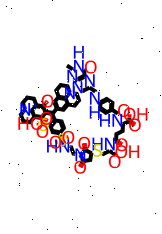 Cc1nc2ncc(CNc3ccc(C(=O)NC(CCC(=O)NC(CSC4CC(=O)N(CCNS(=O)(=O)c5ccc(C6=c7cc8c9c(c7Oc7c6cc6c%10c7CCCN%10CCC6)CCC[N+]=9CCC8)c(S(=O)(=O)O)c5)C4=O)C(=O)O)C(=O)O)cc3)nc2c(=O)[nH]1